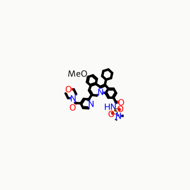 COc1ccc2c(c1)C=C(c1cc(C(=O)N3CCOCC3)ccn1)Cn1c-2c(C2CCCCC2)c2ccc(C(=O)NS(=O)(=O)N(C)C)cc21